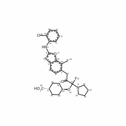 O=C(Cc1ccc2nc(Nc3ccccc3Cl)oc2c1F)C(F)(O[C@H]1CC[C@H](C(=O)O)CC1)N1CCCC1